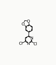 Clc1cc(-c2ccc3c(c2)OCO3)nc(Cl)n1